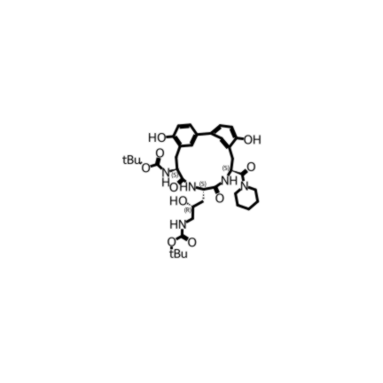 CC(C)(C)OC(=O)NC[C@H](O)C[C@@H]1NC(=O)[C@@H](NC(=O)OC(C)(C)C)Cc2cc(ccc2O)-c2ccc(O)c(c2)C[C@@H](C(=O)N2CCCCC2)NC1=O